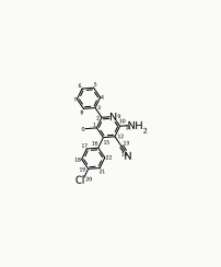 Cc1c(-c2ccccc2)nc(N)c(C#N)c1-c1ccc(Cl)cc1